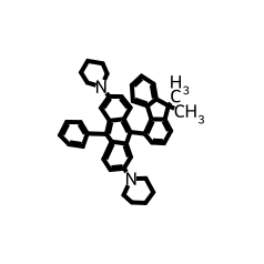 CC1(C)c2ccccc2-c2c(-c3c4ccc(N5CCCCC5)cc4c(-c4ccccc4)c4ccc(N5CCCCC5)cc34)cccc21